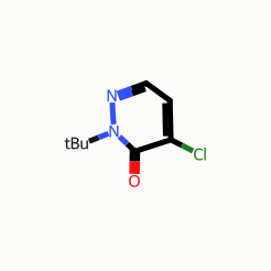 CC(C)(C)n1nccc(Cl)c1=O